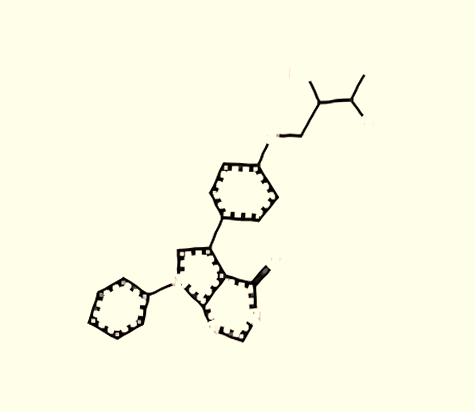 CC(O)C(O)COc1ccc(-c2cn(-c3ccccc3)c3nc[nH]c(=O)c23)cc1